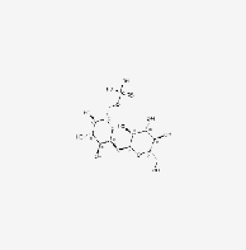 O=P(O)(O)OC[C@@H]1O[C@@H](O[C@@H]2O[C@@H](CO)[C@H](O)[C@@H](O)[C@@H]2O)[C@@H](O)[C@H](O)[C@H]1O